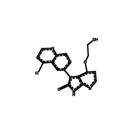 O=c1[nH]c2nccc(OCCO)c2n1-c1ccc2nccc(Cl)c2c1